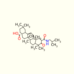 CC(C)CNC(=O)C1C[C@@]2(C)C(CC[C@]3(C)C2CC=C2C4CC(C)(C)CC[C@]4(C(=O)O)CC[C@]23C)C(C)(C)C1=O